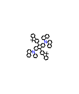 CC1(C)c2ccccc2-c2ccc(-c3c4ccc(N(c5cccc6ccccc56)c5cccc6ccccc56)cc4c(-c4ccc5c(c4)C(C)(C)c4ccccc4-5)c4ccc(N(c5ccccc5)c5cccc6ccccc56)cc34)cc21